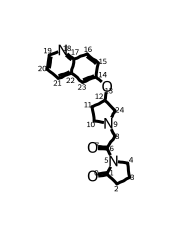 O=C1CCCN1C(=O)CN1CCC(Oc2ccc3ncccc3c2)C1